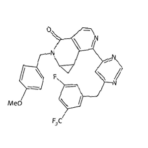 COc1ccc(CN2C(=O)c3ccnc(-c4cc(Cc5cc(F)cc(C(F)(F)F)c5)ncn4)c3C3CC32)cc1